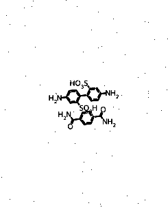 NC(=O)c1ccc(C(N)=O)cc1.Nc1ccc(-c2ccc(N)cc2S(=O)(=O)O)c(S(=O)(=O)O)c1